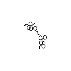 C=CC(=O)OC(C)C(=O)OCCCCOC(=O)C(C)OC(=O)C=C